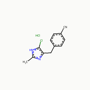 Cc1nc(Cc2ccc(C#N)cc2)c(Cl)[nH]1.Cl